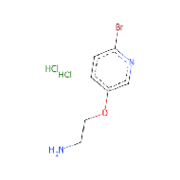 Cl.Cl.NCCOc1ccc(Br)nc1